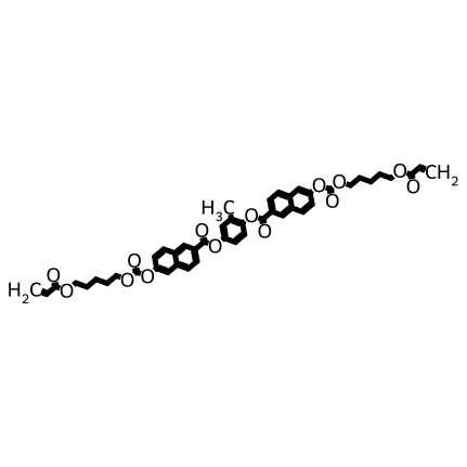 C=CC(=O)OCCCCCOC(=O)Oc1ccc2cc(C(=O)Oc3ccc(OC(=O)c4ccc5cc(OC(=O)OCCCCCOC(=O)C=C)ccc5c4)c(C)c3)ccc2c1